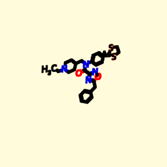 CCN1CCC(CN(C(=O)c2noc(Cc3ccccc3)n2)c2ccc([As]3SCCS3)cc2)CC1